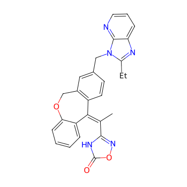 CCc1nc2cccnc2n1Cc1ccc2c(c1)COc1ccccc1/C2=C(/C)c1noc(=O)[nH]1